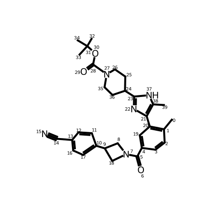 Cc1ccc(C(=O)N2CC(c3ccc(C#N)cc3)C2)cc1-c1nc(C2CCN(C(=O)OC(C)(C)C)CC2)[nH]c1C